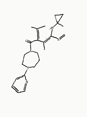 C=N/C(NC1(C)CC1)=C(\C)C(C(=O)N1CCCN(c2ccccn2)CC1)=C(C)C